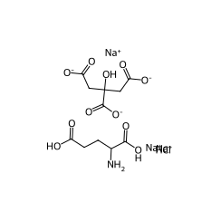 Cl.NC(CCC(=O)O)C(=O)O.O=C([O-])CC(O)(CC(=O)[O-])C(=O)[O-].[Na+].[Na+].[Na+]